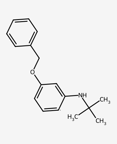 CC(C)(C)Nc1[c]ccc(OCc2ccccc2)c1